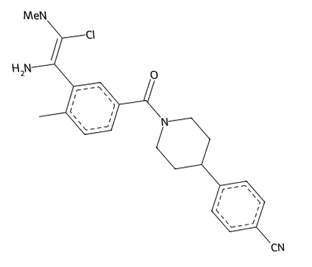 CN/C(Cl)=C(\N)c1cc(C(=O)N2CCC(c3ccc(C#N)cc3)CC2)ccc1C